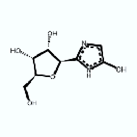 OC[C@@H]1O[C@H](c2ncc(O)[nH]2)[C@@H](O)[C@H]1O